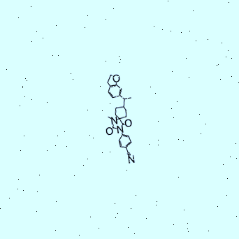 CC(c1ccc2c(c1)OCC2)C1CCC2(CC1)C(=O)N(c1ccc(C#N)cc1)C(=O)N2C